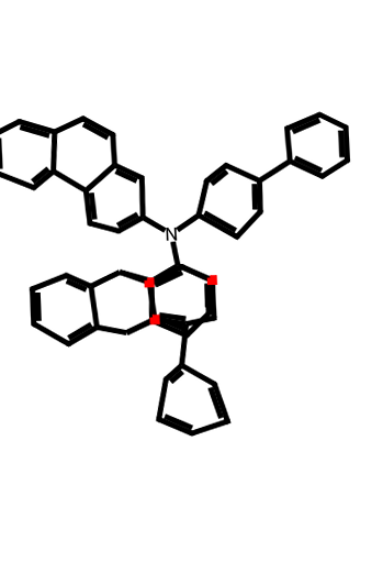 c1ccc(-c2ccc(N(c3ccc4c(ccc5ccccc54)c3)c3ccc(-c4ccccc4)c4c3C3c5ccccc5C4c4ccccc43)cc2)cc1